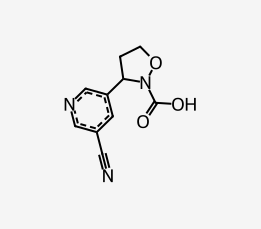 N#Cc1cncc(C2CCON2C(=O)O)c1